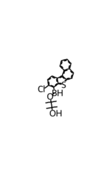 CC(C)(O)C(C)(C)OBc1c(Cl)ccc2c1sc1ccc3ccccc3c12